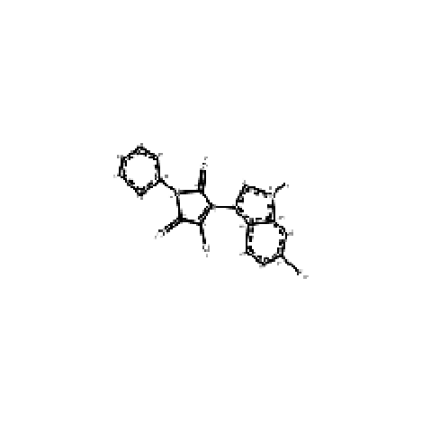 Cn1cc(C2=C(Cl)C(=O)N(c3ccccc3)C2=O)c2ccc(F)cc21